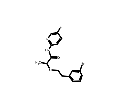 CC(OCCc1cccc(Br)c1)C(=O)Nc1ccc(Cl)cn1